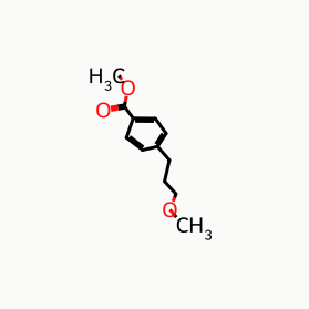 COCCCc1ccc(C(=O)OC)cc1